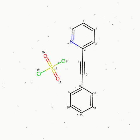 C(#Cc1ccccn1)c1ccccc1.O=S(=O)(Cl)Cl